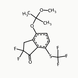 COC(C)(C)Oc1ccc(SC(F)(F)F)c2c1CC(F)(F)C2=O